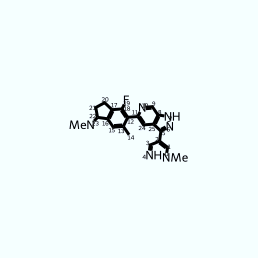 CN/C=C(\C=N)c1n[nH]c2cnc(-c3c(C)cc4c(c3F)CCC4NC)cc12